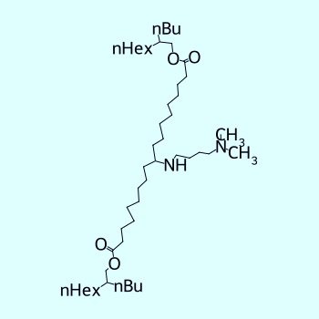 CCCCCCC(CCCC)COC(=O)CCCCCCCCC(CCCCCCCCC(=O)OCC(CCCC)CCCCCC)NCCCCN(C)C